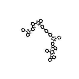 C1=CCC(c2nc(-c3ccc(-c4ccc(-c5ccc(-c6nc(-c7cccc8c7sc7ccc(-c9nc(-c%10ccccc%10)c%10ccccc%10n9)cc78)nc7ccccc67)cc5)cc4)cc3)nc(-c3ccc4sc5c(-c6nc(-c7ccccc7)nc(-c7cccc8c7sc7ccccc78)n6)cccc5c4c3)n2)C=C1